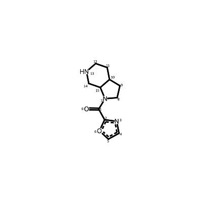 O=C(c1ncco1)N1CCC2CCNCC21